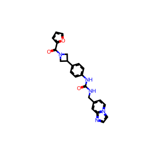 O=C(NCc1ccn2ccnc2c1)Nc1ccc(C2CN(C(=O)c3ccco3)C2)cc1